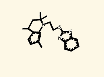 Cc1ccc2c(c1)N(CCSc1nc3ccccc3s1)C(C)(C)CC2C